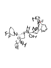 CC(F)(F)c1ccccc1-c1cc(C(O)N[C@@H](CCN2CCCC(F)(F)C2)CC(=O)Nc2nccs2)nn1C1CCCC1